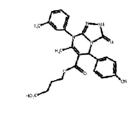 CC1=C(C(=O)OCCCC(=O)O)C(c2ccc(C#N)cc2)n2c(n[nH]c2=O)N1c1cccc(C(F)(F)F)c1